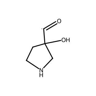 O=[C]C1(O)CCNC1